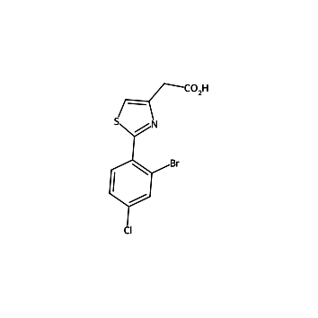 O=C(O)Cc1csc(-c2ccc(Cl)cc2Br)n1